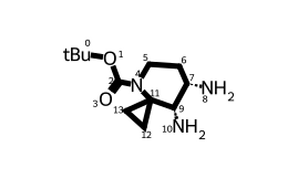 CC(C)(C)OC(=O)N1CC[C@H](N)[C@H](N)C12CC2